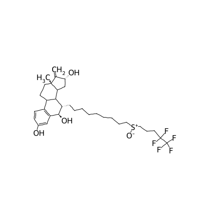 C=C1[C@H](O)CC2C3C(CC[C@]12C)c1ccc(O)cc1[C@H](O)[C@H]3CCCCCCCCC[S+]([O-])CCCC(F)(F)C(F)(F)F